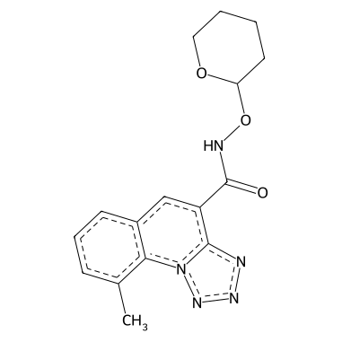 Cc1cccc2cc(C(=O)NOC3CCCCO3)c3nnnn3c12